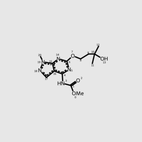 COC(=O)Nc1nc(OCCC(C)(C)O)nc2c1cnn2C